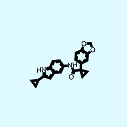 O=C(Nc1ccc2[nH]c(C3CC3)cc2c1)C1(c2ccc3c(c2)OCO3)CC1